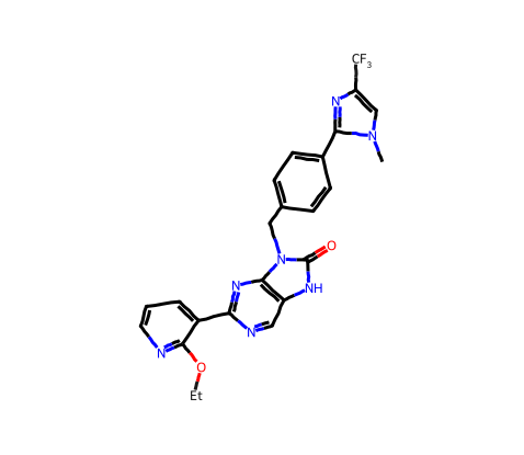 CCOc1ncccc1-c1ncc2[nH]c(=O)n(Cc3ccc(-c4nc(C(F)(F)F)cn4C)cc3)c2n1